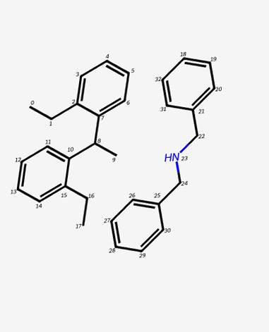 CCc1ccccc1C(C)c1ccccc1CC.c1ccc(CNCc2ccccc2)cc1